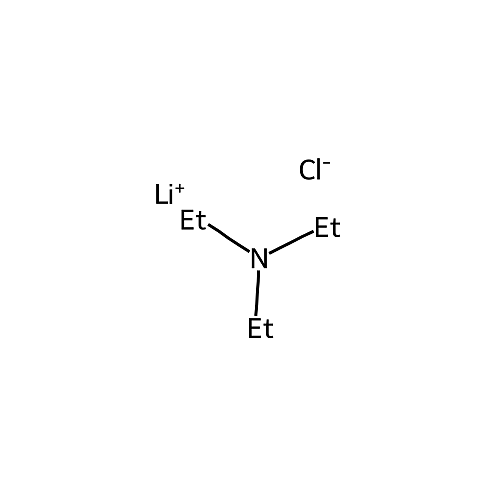 CCN(CC)CC.[Cl-].[Li+]